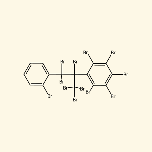 Brc1ccccc1C(Br)(Br)C(Br)(c1c(Br)c(Br)c(Br)c(Br)c1Br)C(Br)(Br)Br